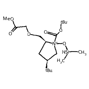 COC(=O)COC[C@@H]1C[C@H](C(C)(C)C)C[N+]1(O[SiH](C)C)C(=O)OC(C)(C)C